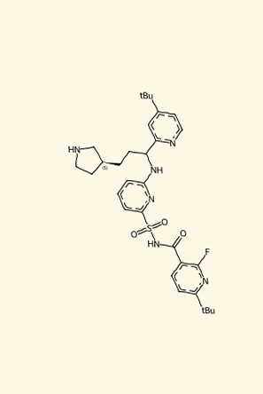 CC(C)(C)c1ccnc(C(CC[C@H]2CCNC2)Nc2cccc(S(=O)(=O)NC(=O)c3ccc(C(C)(C)C)nc3F)n2)c1